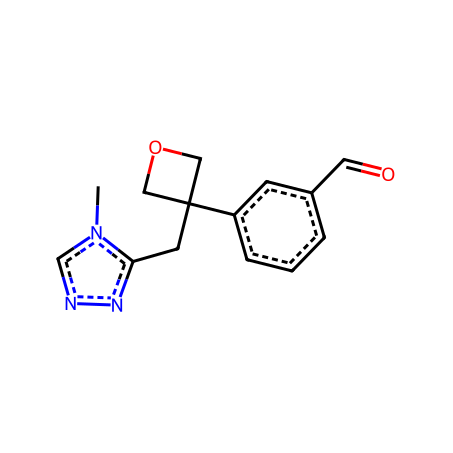 Cn1cnnc1CC1(c2cccc(C=O)c2)COC1